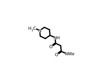 CNC(=O)CC(=O)NC1CCN(C)CC1